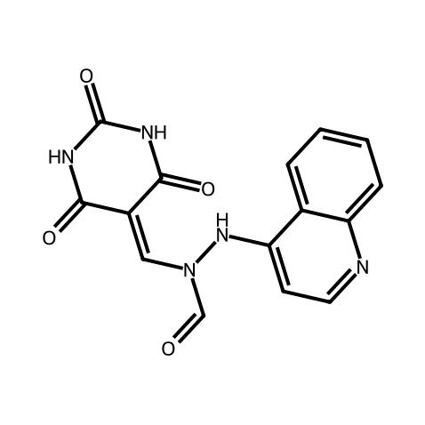 O=CN(C=C1C(=O)NC(=O)NC1=O)Nc1ccnc2ccccc12